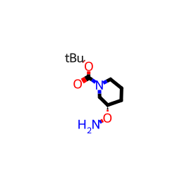 CC(C)(C)OC(=O)N1CCC[C@H](ON)C1